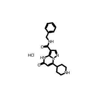 Cl.O=C(NCc1ccccc1)c1cnn2c(C3CCNCC3)cc(=O)[nH]c12